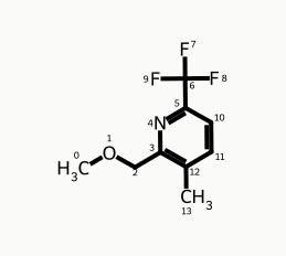 COCc1nc(C(F)(F)F)ccc1C